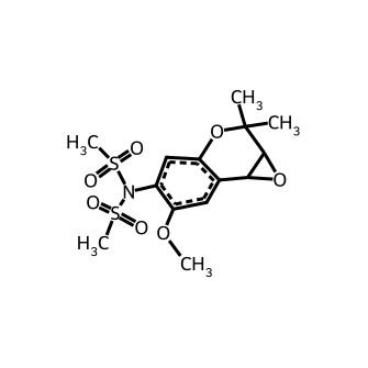 COc1cc2c(cc1N(S(C)(=O)=O)S(C)(=O)=O)OC(C)(C)C1OC21